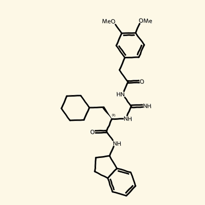 COc1ccc(CC(=O)NC(=N)N[C@H](CC2CCCCC2)C(=O)NC2CCc3ccccc32)cc1OC